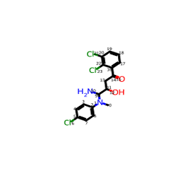 CN(c1ccc(Cl)cc1)C(N)C(O)CC(=O)c1cccc(Cl)c1Cl